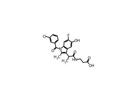 Cc1c(C(C)C(=O)NCCC(=O)O)c2cc(O)c(F)cc2n1C(=O)c1cccc(Cl)c1